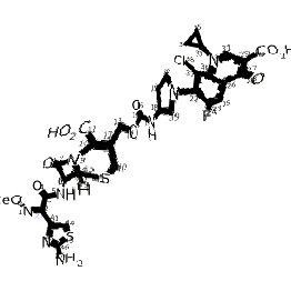 CO/N=C(\C(=O)N[C@@H]1C(=O)N2C(C(=O)O)=C(COC(=O)NC3CCN(c4c(F)cc5c(=O)c(C(=O)O)cn(C6CC6)c5c4Cl)C3)CS[C@H]12)c1csc(N)n1